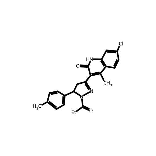 CCC(=O)N1N=C(c2c(C)c3ccc(Cl)cc3[nH]c2=O)CC1c1ccc(C)cc1